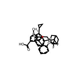 Cn1cc(C(=O)O)c2ccc(N3CC4CC(C3)C4OCc3c(-c4ccccc4OC(F)(F)F)noc3C3CC3)cc21